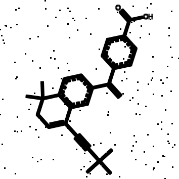 C=C(c1ccc(C(=O)O)cc1)c1ccc2c(c1)C(C#CC(C)(C)C)=CCC2(C)C